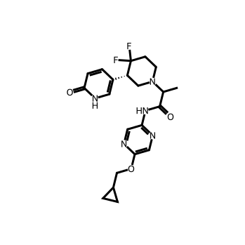 CC(C(=O)Nc1cnc(OCC2CC2)cn1)N1CCC(F)(F)[C@@H](c2ccc(=O)[nH]c2)C1